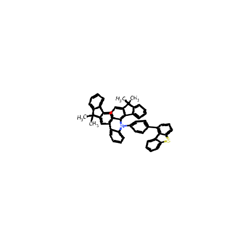 CC1(C)c2ccccc2-c2ccc(-c3ccccc3N(c3ccc(-c4cccc5sc6ccccc6c45)cc3)c3cccc4c3-c3ccccc3C4(C)C)cc21